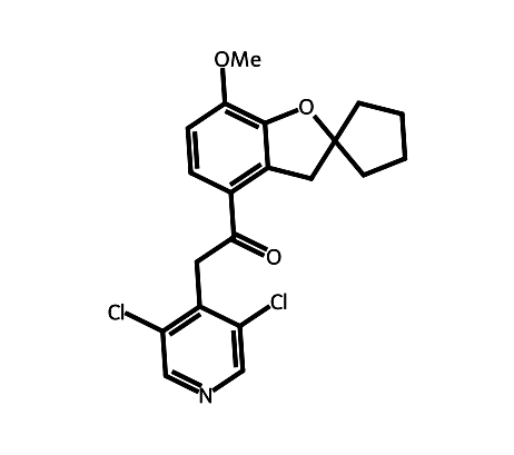 COc1ccc(C(=O)Cc2c(Cl)cncc2Cl)c2c1OC1(CCCC1)C2